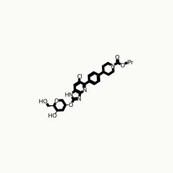 CC(C)OC(=O)N1CCC(c2ccc(-c3nc4nc(O[C@H]5CO[C@H](CO)[C@@H](O)C5)[nH]c4cc3Cl)cc2)CC1